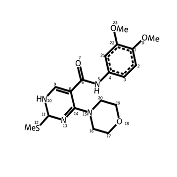 COc1ccc(NC(=O)C2=CNC(SC)N=C2N2CCOCC2)cc1OC